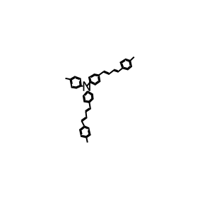 Cc1ccc(/C=C/C=C/c2ccc(N(c3ccc(C)cc3)c3ccc(/C=C/C=C/c4ccc(C)cc4)cc3)cc2)cc1